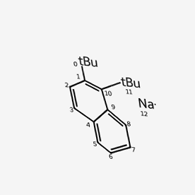 CC(C)(C)c1ccc2ccccc2c1C(C)(C)C.[Na]